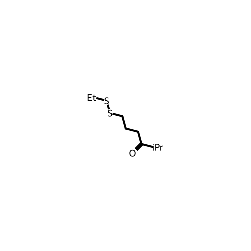 CCSSCCCC(=O)C(C)C